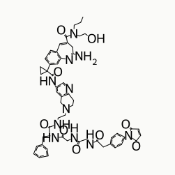 CCCN(CCO)C(=O)C1=Cc2ccc(C3(C(=O)Nc4cnc5c(c4)CN(CCNC(=O)[C@H](Cc4ccccc4)NC(=O)CNC(=O)CNC(=O)Cc4ccc(N6C(=O)C=CC6=O)cc4)CC5)CC3)cc2N=C(N)C1